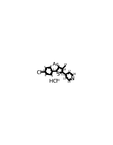 CC(=O)c1c(-c2ccc(Cl)cc2)sc(-c2ccncc2)c1C.Cl